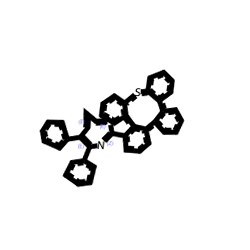 C1=C/C(c2ccccc2)=C(c2ccccc2)\N=C(c2cccc3c4ccccc4c4ccccc4sc4ccccc4c23)/N=C/1